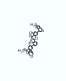 COC(=O)c1cc(F)c(-c2cccc3c2OCN(C(=O)c2c(Cl)cc(-c4cncc5cn(C)nc45)cc2Cl)C3)cc1N1C2CCC1COC2